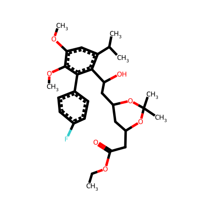 CCOC(=O)CC1CC(CC(O)c2c(C(C)C)cc(OC)c(OC)c2-c2ccc(F)cc2)OC(C)(C)O1